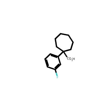 O=C(O)C1(c2cccc(F)c2)CCCCCC1